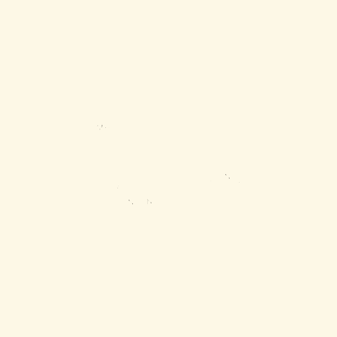 COc1ccc2c(-c3ccc(N)cc3)n[nH]c(=O)c2c1